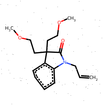 C=CCN1C(=O)C(CCOC)(CCOC)c2ccccc21